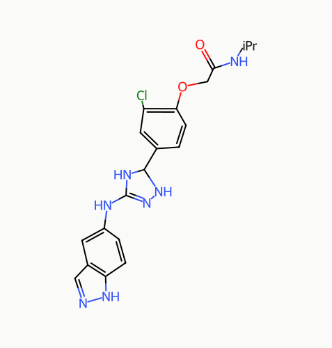 CC(C)NC(=O)COc1ccc(C2NN=C(Nc3ccc4[nH]ncc4c3)N2)cc1Cl